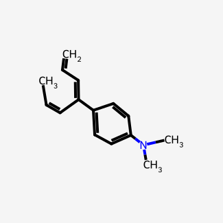 C=C/C=C(\C=C/C)c1ccc(N(C)C)cc1